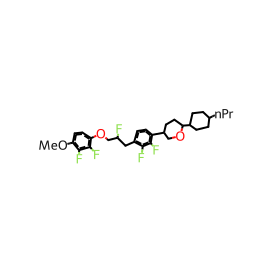 CCCC1CCC(C2CCC(c3ccc(CC(F)COc4ccc(OC)c(F)c4F)c(F)c3F)CO2)CC1